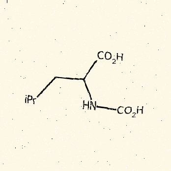 CC(C)CC(NC(=O)O)C(=O)O